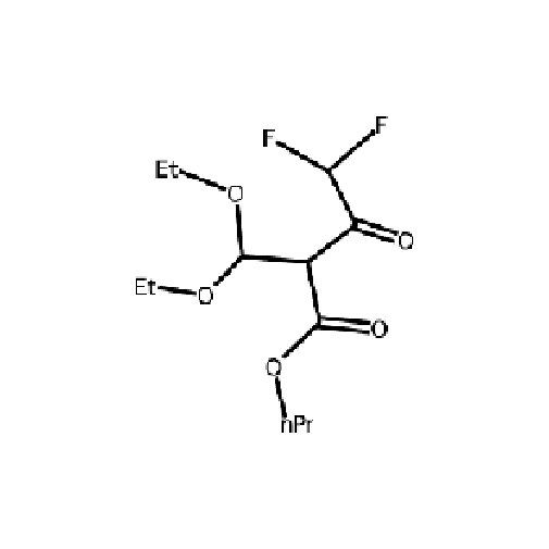 CCCOC(=O)C(C(=O)C(F)F)C(OCC)OCC